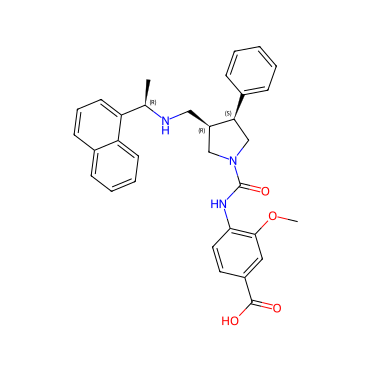 COc1cc(C(=O)O)ccc1NC(=O)N1C[C@@H](CN[C@H](C)c2cccc3ccccc23)[C@@H](c2ccccc2)C1